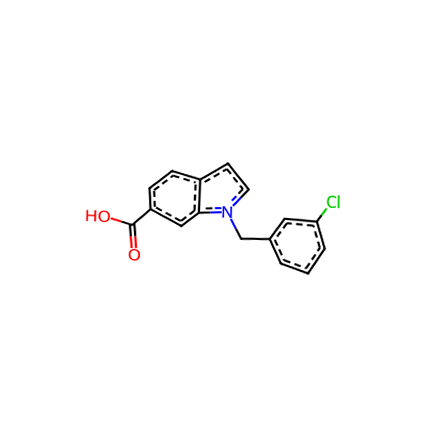 O=C(O)c1ccc2ccn(Cc3cccc(Cl)c3)c2c1